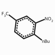 CCCCc1ccc(C(F)(F)F)cc1[N+](=O)[O-]